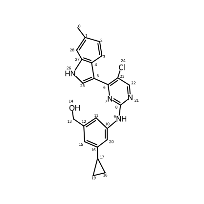 Cc1ccc2c(-c3nc(Nc4cc(CO)cc(C5CC5)c4)ncc3Cl)c[nH]c2c1